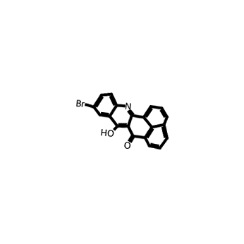 O=C1c2c(nc3ccc(Br)cc3c2O)-c2cccc3cccc1c23